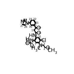 COCCN(C)c1cc(NC(=O)O)c(NC(=O)CC(=O)c2cccc(-n3ccnn3)c2)cc1Cl